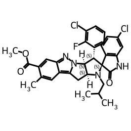 COC(=O)c1cc2nn3c(c2cc1C)C[C@H]1[C@@H]3[C@H](c2cccc(Cl)c2F)[C@]2(C(=O)Nc3cc(Cl)ccc32)N1CC(C)C